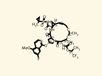 COc1cc(F)cc2c(O[C@@H]3C[C@H]4C(=O)N[C@]5(C(=O)NS(=O)(=O)C6(C)CC6)C[C@H]5/C=C\CC[C@H](C)C[C@@H](C)[C@H](NC(=O)O[C@H](C)C(F)(F)F)C(=O)N4C3)nccc12